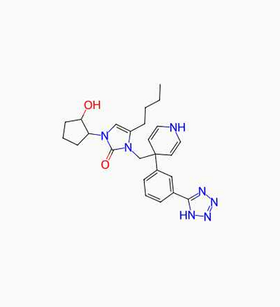 CCCCc1cn(C2CCCC2O)c(=O)n1CC1(c2cccc(-c3nnn[nH]3)c2)C=CNC=C1